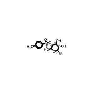 CC[C@H]1OC(O)[C@H](OS(=O)(=O)c2ccc(C)cc2)[C@@H](O)[C@@H]1O